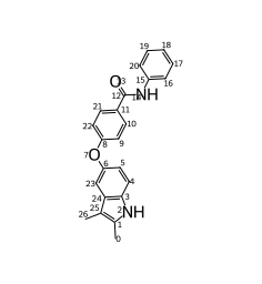 Cc1[nH]c2ccc(Oc3ccc(C(=O)Nc4ccccc4)cc3)cc2c1C